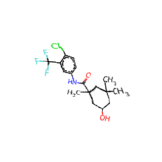 CC1(C)CC(O)CC(C)(C(=O)Nc2ccc(Cl)c(C(F)(F)F)c2)C1